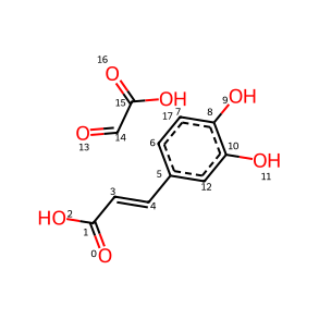 O=C(O)/C=C/c1ccc(O)c(O)c1.O=CC(=O)O